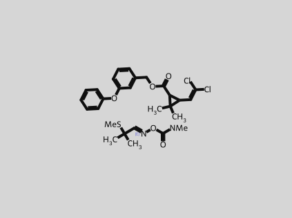 CC1(C)C(C=C(Cl)Cl)C1C(=O)OCc1cccc(Oc2ccccc2)c1.CNC(=O)O/N=C/C(C)(C)SC